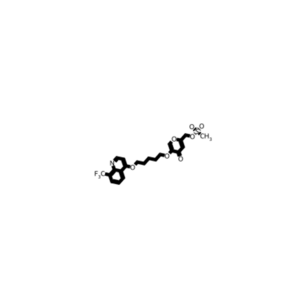 CS(=O)(=O)OCc1cc(=O)c(OCCCCCOc2ccnc3c(C(F)(F)F)cccc23)co1